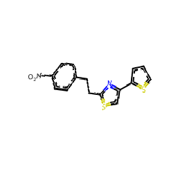 O=[N+]([O-])c1ccc(C[CH]c2nc(-c3cccs3)cs2)cc1